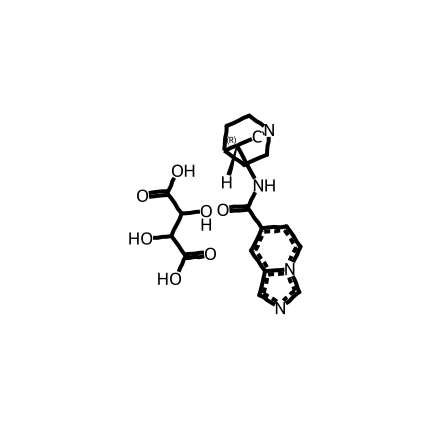 O=C(N[C@H]1CN2CCC1CC2)c1ccn2cncc2c1.O=C(O)C(O)C(O)C(=O)O